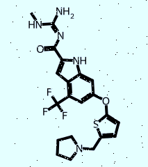 CNC(N)=NC(=O)c1cc2c(C(F)(F)F)cc(Oc3ccc(CN4CCCC4)s3)cc2[nH]1